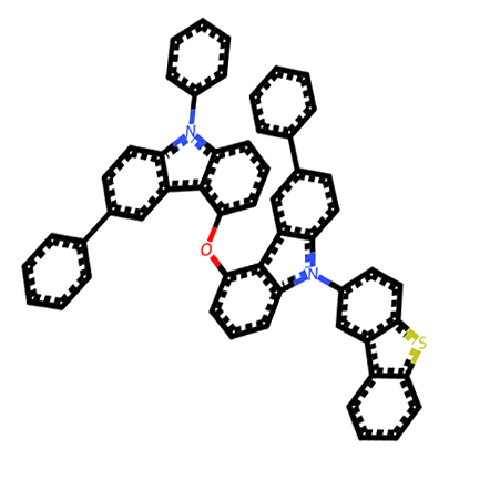 c1ccc(-c2ccc3c(c2)c2c(Oc4cccc5c4c4cc(-c6ccccc6)ccc4n5-c4ccc5sc6ccccc6c5c4)cccc2n3-c2ccccc2)cc1